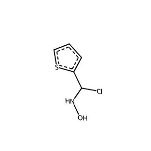 ONC(Cl)c1cccs1